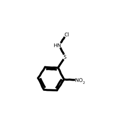 O=[N+]([O-])c1ccccc1SNCl